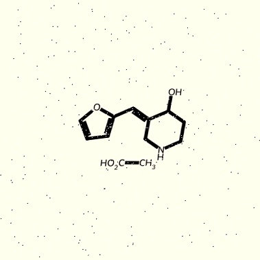 CC(=O)O.OC1CCNCC1=Cc1ccco1